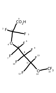 O=C(O)C(F)(F)OC(F)(F)C(F)(F)C(F)(F)OC(F)(F)F